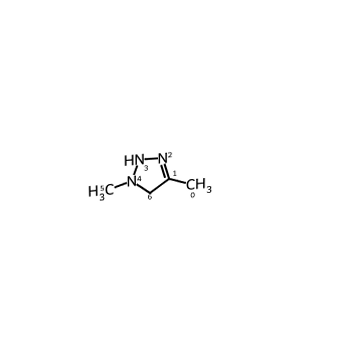 CC1=NNN(C)C1